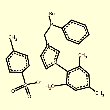 Cc1cc(C)c(-[n+]2ccn(CP(c3ccccc3)C(C)(C)C)c2)c(C)c1.Cc1ccc(S(=O)(=O)[O-])cc1